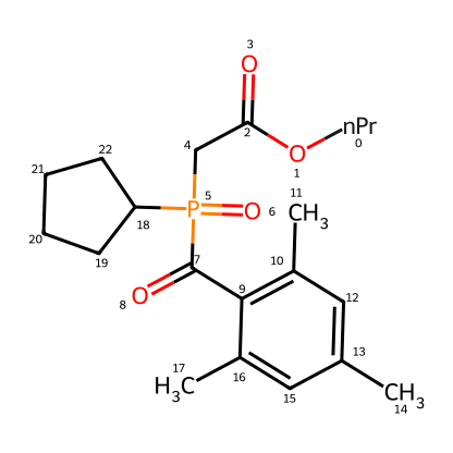 CCCOC(=O)CP(=O)(C(=O)c1c(C)cc(C)cc1C)C1CCCC1